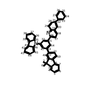 CC1(C)c2ccccc2-c2ccc(-c3cc(-c4ccc5cc(-c6ccccc6)ccc5n4)cc(-n4c5ccccc5c5ccccc54)c3)cc21